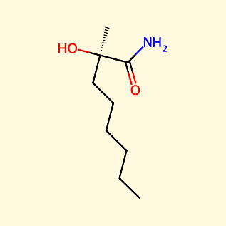 CCCCCC[C@@](C)(O)C(N)=O